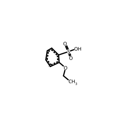 CCOc1[c]cccc1S(=O)(=O)O